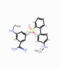 CCC[C@H](C)Nc1cccc(C(=N)N)c1.CS(=O)(=O)c1ccccc1-c1ccc(NC(=O)O)cc1